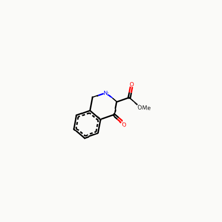 COC(=O)C1[N]Cc2ccccc2C1=O